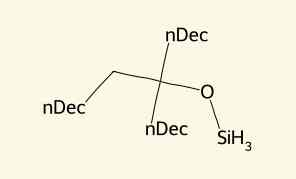 CCCCCCCCCCCC(CCCCCCCCCC)(CCCCCCCCCC)O[SiH3]